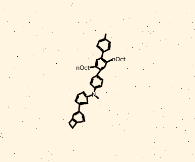 CCCCCCCCc1cc(-c2ccc(N(C)c3cccc(-c4ccc5c(c4)CC5)c3)cc2)c(CCCCCCCC)cc1-c1ccc(C)cc1